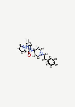 CCN(C(=O)[C@@H]1CCCN1)C1CCN(CCc2ccccc2)CC1